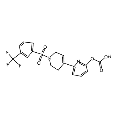 O=C(O)Oc1cccc(C2=CCN(S(=O)(=O)c3cccc(C(F)(F)F)c3)CC2)n1